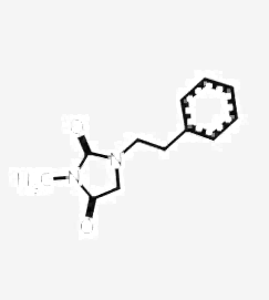 CN1C(=O)CN(CCc2ccccc2)C1=O